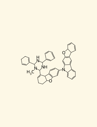 CN1C(C2=CCCC=C2)NC(c2ccccc2)NC1C1=CCCC2Oc3cc(-n4c5ccccc5c5cc6c(cc54)OC4C=CC=CC64)ccc3C12